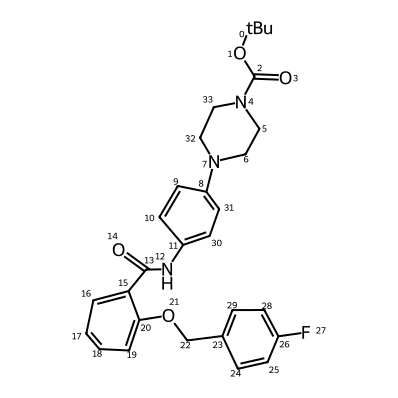 CC(C)(C)OC(=O)N1CCN(c2ccc(NC(=O)c3ccccc3OCc3ccc(F)cc3)cc2)CC1